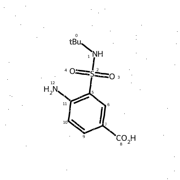 CC(C)(C)NS(=O)(=O)c1cc(C(=O)O)ccc1N